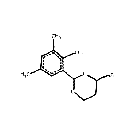 Cc1cc(C)c(C)c(C2OCCC(C(C)C)O2)c1